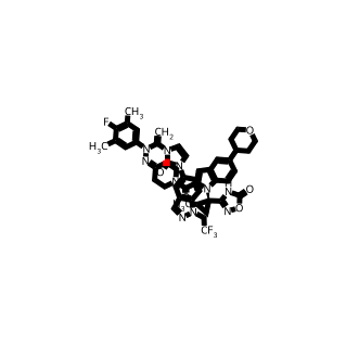 C=C(N(N=C1CCN(C(=O)c2cc3cc(C4CCOCC4)ccc3n2[C@@]2(c3noc(=O)[nH]3)CC2C)CC1)c1cc(C)c(F)c(C)c1)n1ccn(-c2ccc3c(cnn3CC(F)(F)F)c2)c1=O